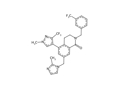 Cc1nccn1Cc1cc2c(c(-c3cn(C)nc3C(F)(F)F)c1)CCN(Cc1cccc(C(F)(F)F)c1)C2=O